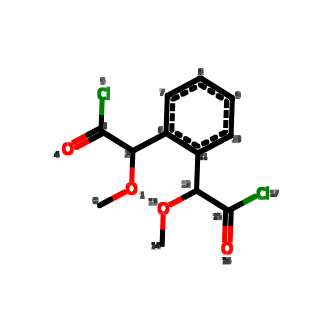 COC(C(=O)Cl)c1ccccc1C(OC)C(=O)Cl